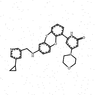 O=c1cc(N2CCOCC2)cc(-c2cccc3c2Oc2ccc(NCc4cncc(C5CC5)c4)cc2S3)[nH]1